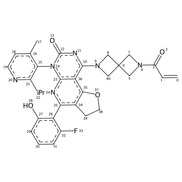 C=CC(=O)N1CC2(C1)CN(c1nc(=O)n(-c3c(C)ccnc3C(C)C)c3nc(-c4c(O)cccc4F)c4c(c13)OCC4)C2